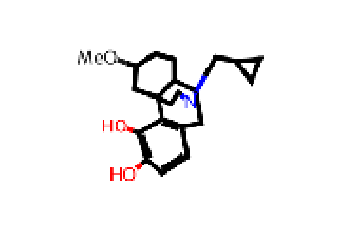 COC1CCC2C3Cc4ccc(O)c(O)c4C2(CCN3CC2CC2)C1